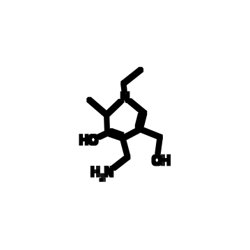 CCN1C=C(CO)C(CN)=C(O)C1C